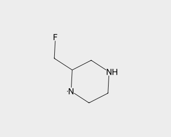 FCC1CNCC[N]1